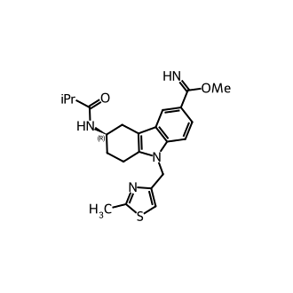 COC(=N)c1ccc2c(c1)c1c(n2Cc2csc(C)n2)CC[C@@H](NC(=O)C(C)C)C1